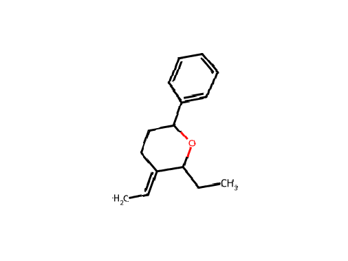 [CH2]C=C1CCC(c2ccccc2)OC1CC